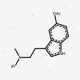 CC(=O)Oc1ccc2[nH]cc(CCN(C)C(C)C)c2c1